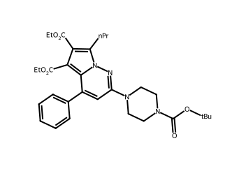 CCCc1c(C(=O)OCC)c(C(=O)OCC)c2c(-c3ccccc3)cc(N3CCN(C(=O)OC(C)(C)C)CC3)nn12